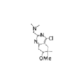 COC1Cc2nc(CN(C)C)nc(Cl)c2CC1(C)C